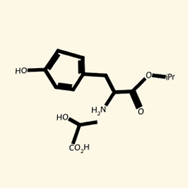 CC(C)OC(=O)C(N)Cc1ccc(O)cc1.CC(O)C(=O)O